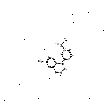 C/N=C\c1cc(O)ccc1Nc1cccc(C(=O)OCC(C)C)c1